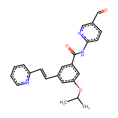 CC(C)Oc1cc(/C=C/c2ccccn2)cc(C(=O)Nc2ccc(C=O)cn2)c1